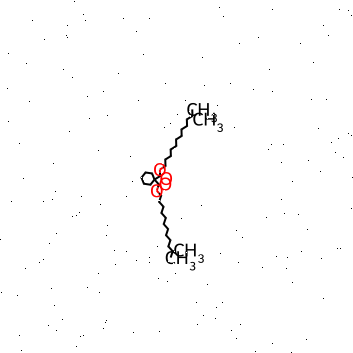 CC(C)CCCCCCCCCCOC(=O)C1(C(=O)OCCCCCCCCCCC(C)C)CCCCC1